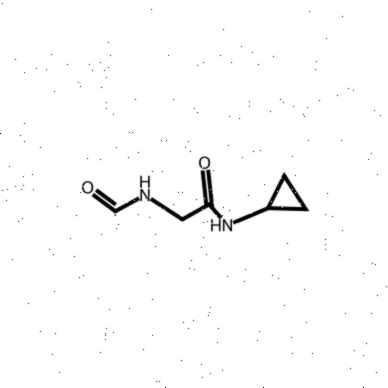 O=[C]NCC(=O)NC1CC1